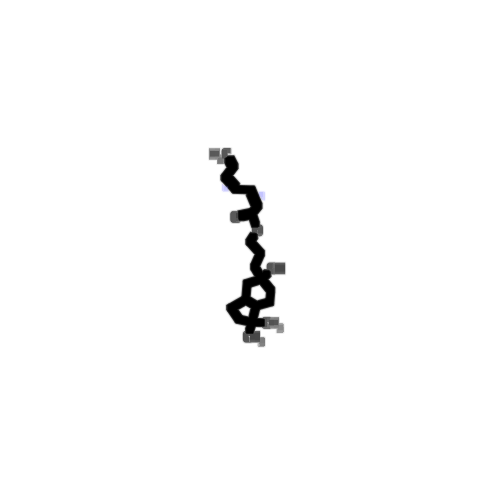 C=C/C=C\C=C/C(=O)OCCCC1(O)CCC2C(CCC2(C)C)C1